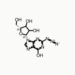 [N-]=[N+]=Nc1nc(O)c2ncn([C@@H]3O[C@H](CO)C(O)C3O)c2n1